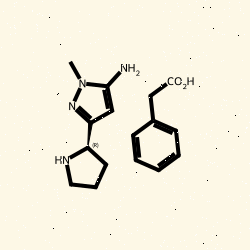 Cn1nc([C@H]2CCCN2)cc1N.O=C(O)Cc1ccccc1